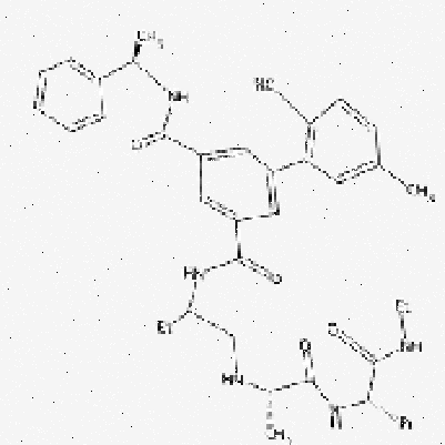 CCNC(=O)[C@@H](NC(=O)[C@H](C)NCC(CC)NC(=O)c1cc(C(=O)N[C@H](C)c2ccccc2)cc(-c2cc(C)ccc2C#N)c1)C(C)C